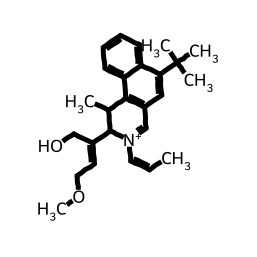 C/C=C\[N+]1=Cc2cc(C(C)(C)C)c3ccccc3c2C(C)C1/C(=C/COC)CO